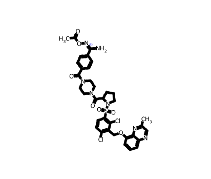 CC(=O)O/N=C(/N)c1ccc(C(=O)N2CCN(C(=O)C3CCCN3S(=O)(=O)c3ccc(Cl)c(COc4cccc5ncc(C)nc45)c3Cl)CC2)cc1